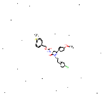 COc1ccc(-c2cc(NC(=O)OCc3ccc(SC)cc3)c(=O)n(C/C=C/c3ccc(Cl)cc3)n2)cc1